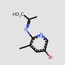 C/C(=N\c1ncc(Br)cc1C)C(=O)O